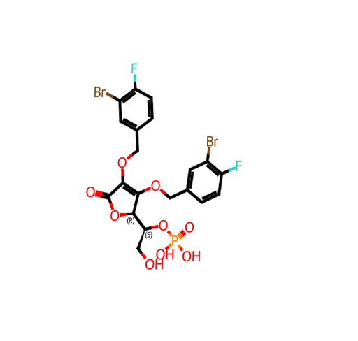 O=C1O[C@H]([C@H](CO)OP(=O)(O)O)C(OCc2ccc(F)c(Br)c2)=C1OCc1ccc(F)c(Br)c1